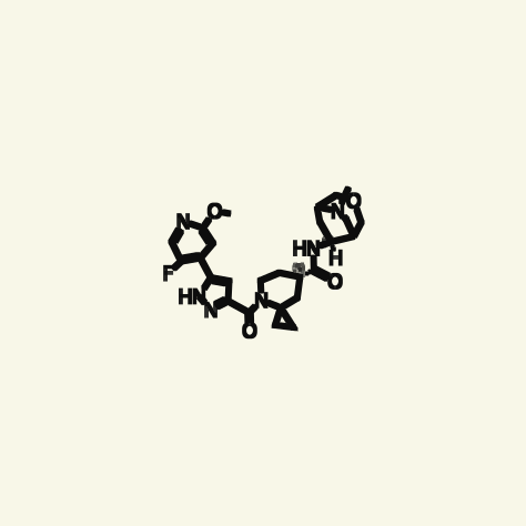 COc1cc(-c2cc(C(=O)N3CC[C@H](C(=O)N[C@H]4CC5COCC4CN5C)CC34CC4)n[nH]2)c(F)cn1